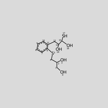 OCC(O)CSc1ccccc1CC(O)C(O)S